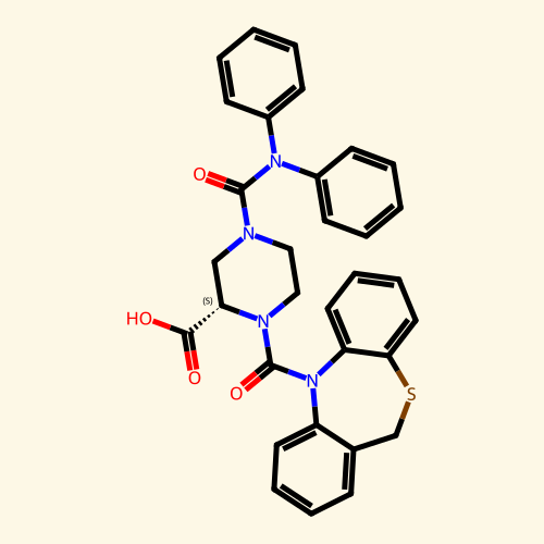 O=C(O)[C@@H]1CN(C(=O)N(c2ccccc2)c2ccccc2)CCN1C(=O)N1c2ccccc2CSc2ccccc21